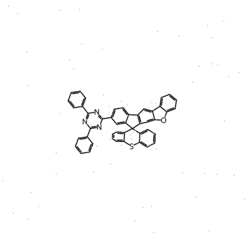 c1ccc(-c2nc(-c3ccccc3)nc(-c3ccc4c(c3)C3(c5ccccc5Sc5ccccc53)c3cc5oc6ccccc6c5cc3-4)n2)cc1